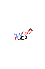 CC(C)(C)OC(=O)c1cccc(CC=O)c1N